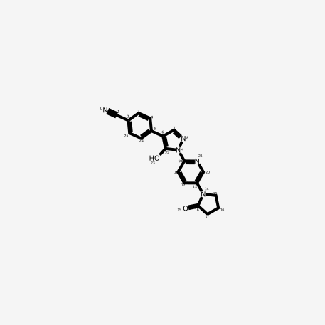 N#Cc1ccc(-c2cnn(-c3ccc(N4CCCC4=O)cn3)c2O)cc1